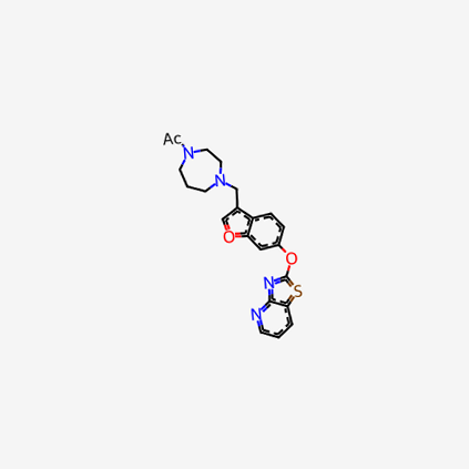 CC(=O)N1CCCN(Cc2coc3cc(Oc4nc5ncccc5s4)ccc23)CC1